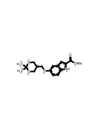 COC(=O)c1cc2cc(OCC3COC(C)(C)OC3)ccc2[nH]1